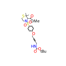 COC(=O)C1N(S(=O)(=O)c2ccc(OCC#CCNC(=O)OC(C)(C)C)cc2)CCSC1(C)C